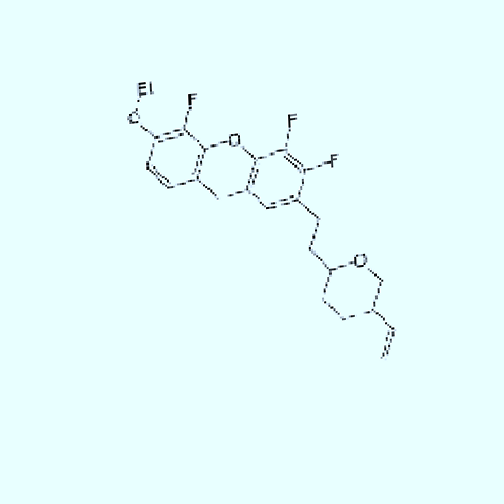 C=CC1CCC(CCc2cc3c(c(F)c2F)Oc2c(ccc(OCC)c2F)C3)OC1